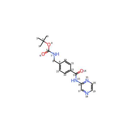 CC(C)(C)OC(=O)NCc1ccc(C(=O)Nc2cnccn2)cc1